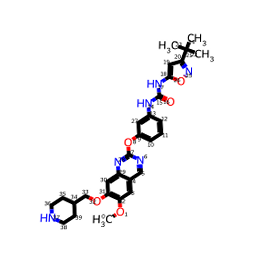 COc1cc2cnc(Oc3cccc(NC(=O)Nc4cc(C(C)(C)C)no4)c3)nc2cc1OCC1CCNCC1